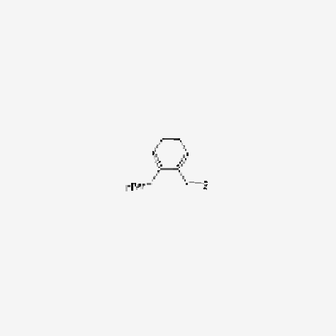 CCCCCc1ccccc1[C]=S